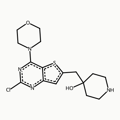 OC1(Cc2cc3nc(Cl)nc(N4CCOCC4)c3s2)CCNCC1